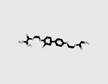 C=CC(=O)O/C=C\Oc1ccc(-c2ccc(O/C=C\OC(=O)C(=C)C)c(F)c2)cc1